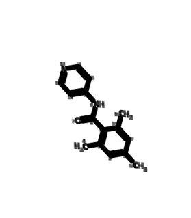 Cc1cc(C)c(C(=O)Nc2ccncc2)c(C)c1